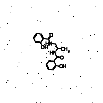 CC(CNC(=O)c1ccccc1O)NC(=O)c1ccccc1O